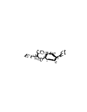 CCc1ccc(O[C@@H](CC)C(=O)O)cc1